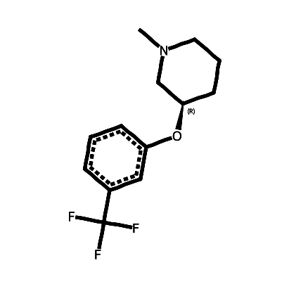 CN1CCC[C@@H](Oc2cccc(C(F)(F)F)c2)C1